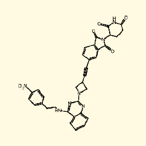 O=C1CCC(N2C(=O)c3ccc(C#CC4CN(c5nc(NCCc6ccc([N+](=O)[O-])cc6)c6ccccc6n5)C4)cc3C2=O)C(=O)N1